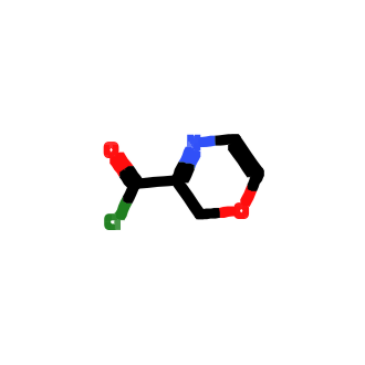 O=C(Cl)C1=NC=COC1